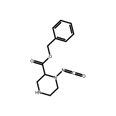 O=C=NN1CCNCC1C(=O)OCc1ccccc1